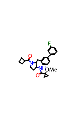 COC1(C(=O)NC2CCN(C(=O)C3CCC3)C2Cc2cccc(-c3cccc(F)c3)c2)CC1